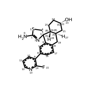 NC1=N[C@]2(CS1)c1cc(-c3cccnc3F)ccc1C[C@@H]1C[C@@H](O)CC[C@H]12